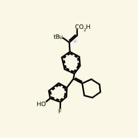 CC(C)(C)/C(=C\C(=O)O)c1ccc(C(=C2CCCCC2)c2ccc(O)c(F)c2)cc1